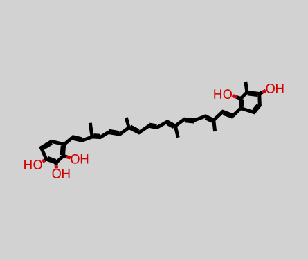 CC(/C=C/C=C(C)/C=C/c1ccc(O)c(C)c1O)=C\C=C\C=C(C)\C=C\C=C(C)\C=C\c1ccc(O)c(O)c1O